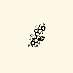 Cc1c(F)cccc1-c1cccc2c(Cl)c([C@H](C)Nc3ncnc4[nH]ccc(=O)c34)n(-c3ccccc3)c(=O)c12